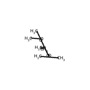 CCCCCCCCCCCCC(CCCCCCCCCC)C(=O)OCCCCCCCCCN(CCCCCCCCCOC(=O)C(CCCCCCCCCC)CCCCCCCCCCC)CCN(C)C